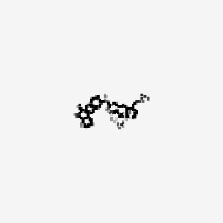 CNCc1ccccc1CN(CC(=O)Nc1ccc2c(c1)CC1(C2)C(=O)Nc2ncccc21)C(=O)C(C)(C)OC